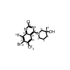 C[C@@]1(O)CCCN(c2nc(Cl)nc3c(F)c(Br)c(C(F)(F)F)cc23)C1